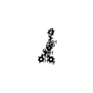 O=C(N[C@@H](Cc1ccccc1)C(=O)Nc1ccc(S(=O)(=O)NCCCN2CCOCC2)nc1)c1ccc(F)cc1